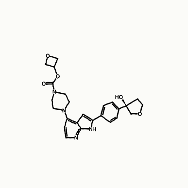 O=C(OC1COC1)N1CCN(c2ccnc3[nH]c(-c4ccc([C@]5(O)CCOC5)cc4)cc23)CC1